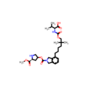 COC(=O)[C@@H]1CC(OC(=O)N2Cc3cccc(CCCCC(C)(C)COC(=O)N[C@H](C(=O)O)C(C)C)c3C2)CN1